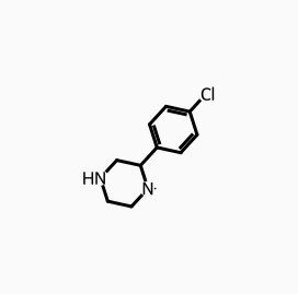 Clc1ccc(C2CNCC[N]2)cc1